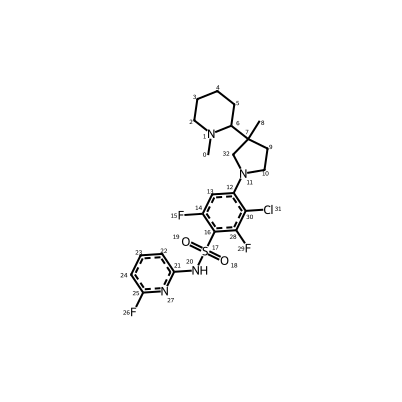 CN1CCCCC1C1(C)CCN(c2cc(F)c(S(=O)(=O)Nc3cccc(F)n3)c(F)c2Cl)C1